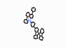 c1ccc(-c2ccc(N(c3ccc(-c4ccc5c(c4)-c4ccccc4C54c5ccccc5-c5ccccc54)cc3)c3ccccc3-c3ccccc3)cc2)cc1